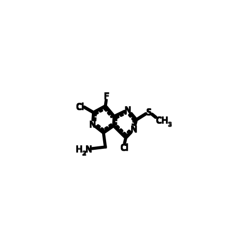 CSc1nc(Cl)c2c(CN)nc(Cl)c(F)c2n1